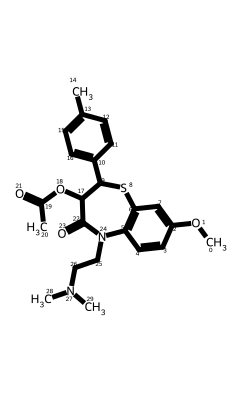 COc1ccc2c(c1)SC(c1ccc(C)cc1)C(OC(C)=O)C(=O)N2CCN(C)C